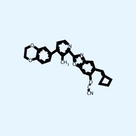 Cc1c(-c2ccc3c(c2)OCCO3)ccnc1-c1nc2cc(C=C3CCC3)c(OCC#N)cc2o1